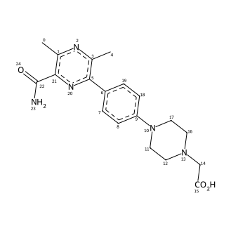 Cc1nc(C)c(-c2ccc(N3CCN(CC(=O)O)CC3)cc2)nc1C(N)=O